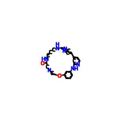 O=C1CN2CC(C2)Oc2cccc(c2)Nc2cc(ccn2)-c2cnc(nc2)NCCCN1